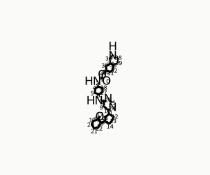 O=C(Nc1ccc(Nc2cc(-c3cccc4c3oc3ccccc34)ncn2)cc1)Oc1ccc2c(c1)CNCC2